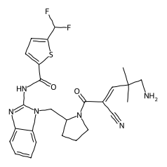 CC(C)(C=C(C#N)C(=O)N1CCCC1Cn1c(NC(=O)c2ccc(C(F)F)s2)nc2ccccc21)CN